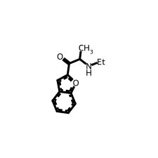 CCNC(C)C(=O)c1cc2ccccc2o1